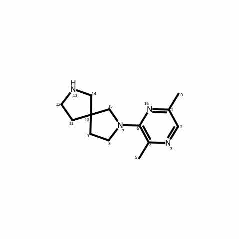 Cc1cnc(C)c(N2CCC3(CCNC3)C2)n1